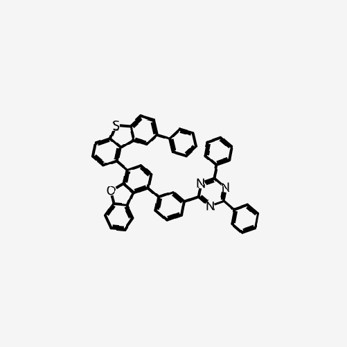 c1ccc(-c2ccc3sc4cccc(-c5ccc(-c6cccc(-c7nc(-c8ccccc8)nc(-c8ccccc8)n7)c6)c6c5oc5ccccc56)c4c3c2)cc1